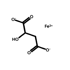 O=C([O-])CC(O)C(=O)[O-].[Fe+2]